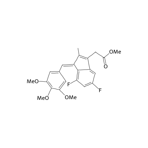 COC(=O)CC1=C(C)/C(=C/c2cc(OC)c(OC)c(OC)c2)c2c(F)cc(F)cc21